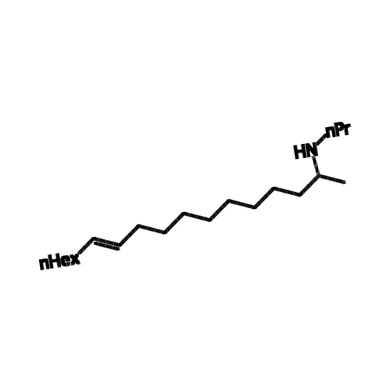 CCCCCCC=CCCCCCCCCC(C)NCCC